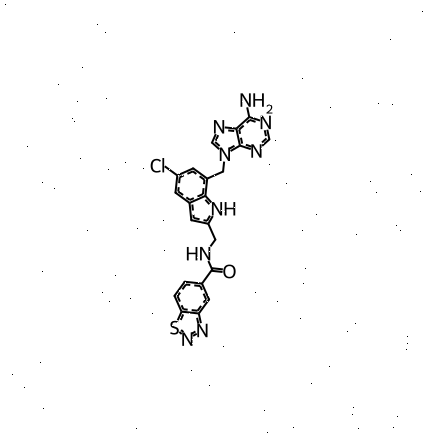 Nc1ncnc2c1ncn2Cc1cc(Cl)cc2cc(CNC(=O)c3ccc4snnc4c3)[nH]c12